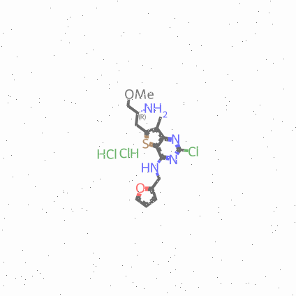 COC[C@H](N)Cc1sc2c(NCc3ccco3)nc(Cl)nc2c1C.Cl.Cl